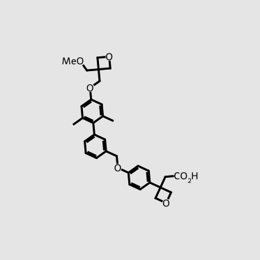 COCC1(COc2cc(C)c(-c3cccc(COc4ccc(C5(CC(=O)O)COC5)cc4)c3)c(C)c2)COC1